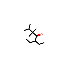 CCC(CC)C(=O)C(C)(C)C(C)C